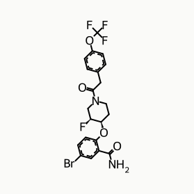 NC(=O)c1cc(Br)ccc1O[C@@H]1CCN(C(=O)Cc2ccc(OC(F)(F)F)cc2)C[C@@H]1F